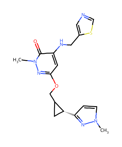 Cn1ccc([C@@H]2CC2COc2cc(NCc3cncs3)c(=O)n(C)n2)n1